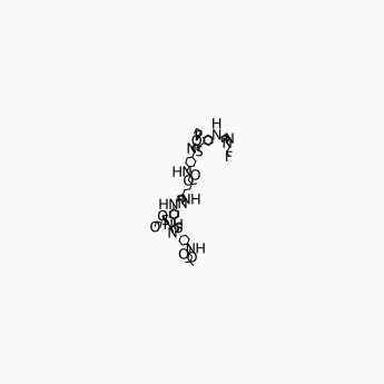 CC(C)OC(=O)N[C@H]1CC[C@H](c2ncc(-c3ccc(Nc4cc(CCC(C)OC(=O)NC5CCC(c6ncc(-c7ccc(Nc8cnn(CCF)c8)cc7P7(=O)CCC7)s6)CC5)[nH]n4)cc3S(=N)(=O)C3COC3)s2)CC1